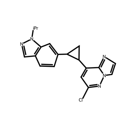 CC(C)n1ncc2ccc(C3CC3c3cc(Cl)nn4ccnc34)cc21